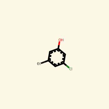 C[CH]c1cc(O)cc(Cl)c1